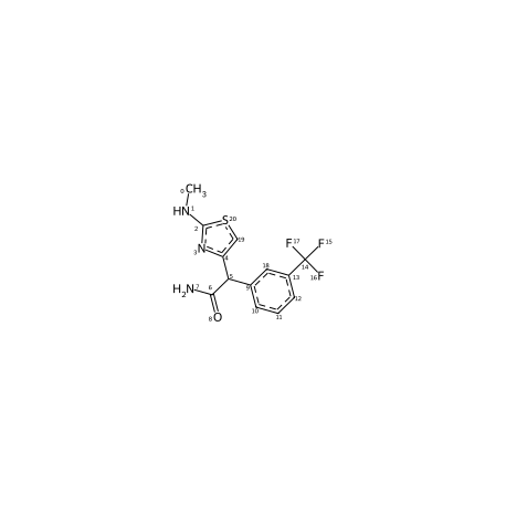 CNc1nc(C(C(N)=O)c2cccc(C(F)(F)F)c2)cs1